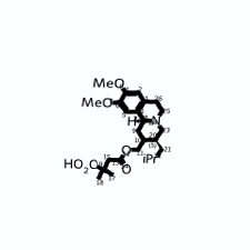 COc1cc2c(cc1OC)[C@H]1CC(COC(=O)CC(C)(C)C(=O)O)[C@H](CC(C)C)CN1CC2